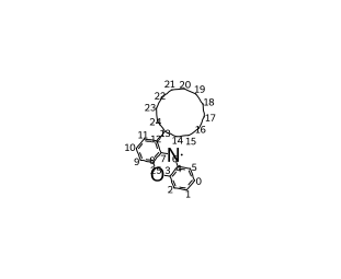 c1ccc2c(c1)[N]c1c(cccc1C1CCCCCCCCCCC1)O2